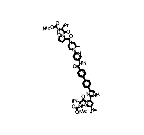 COC(=O)N[C@H](C(=O)N1CCCC1C(=O)N1CCN(c2ccc(NC(=O)c3ccc(-c4ccc(-c5c[nH]c([C@@H]6C[C@H](N(C)C)CN6C(=O)[C@@H](NC(=O)OC)C(C)C)n5)cc4)cc3)cn2)[C@H](C)C1)C(C)C